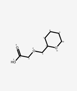 O=C(O)COCC1CCCCO1